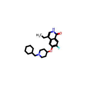 CCc1c[nH]c(=O)c2cc(F)c(OC3CCN(CC4CCCCC4)CC3)cc12